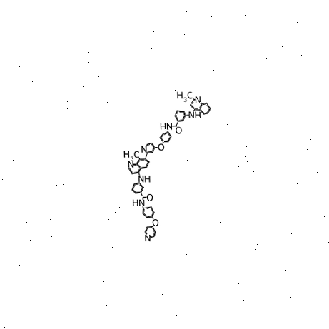 Cc1cc(Nc2cccc(C(=O)Nc3ccc(Oc4ccnc(-c5ccc6c(Nc7cccc(C(=O)Nc8ccc(Oc9ccncc9)cc8)c7)ccnc6c5C)c4)cc3)c2)c2ccccc2n1